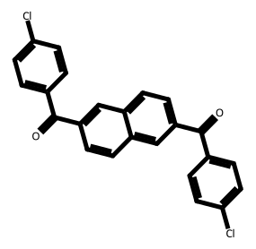 O=C(c1ccc(Cl)cc1)c1ccc2cc(C(=O)c3ccc(Cl)cc3)ccc2c1